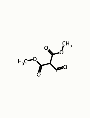 COC(=O)C([C]=O)C(=O)OC